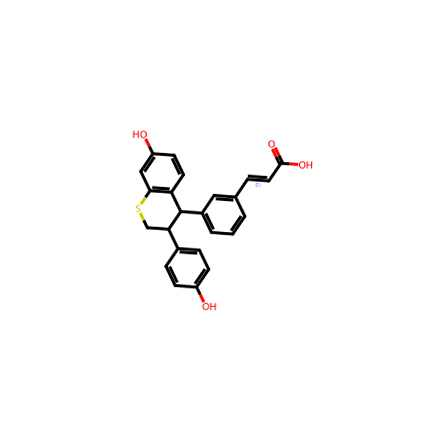 O=C(O)/C=C/c1cccc(C2c3ccc(O)cc3SCC2c2ccc(O)cc2)c1